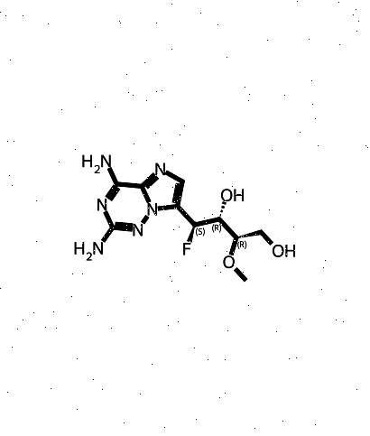 CO[C@H](CO)[C@@H](O)[C@@H](F)c1cnc2c(N)nc(N)nn12